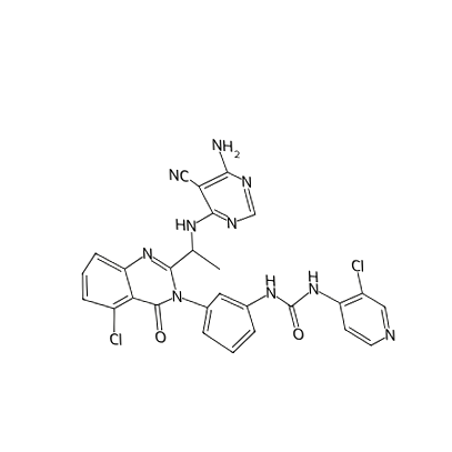 CC(Nc1ncnc(N)c1C#N)c1nc2cccc(Cl)c2c(=O)n1-c1cccc(NC(=O)Nc2ccncc2Cl)c1